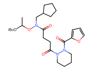 CC(C)COC(C)ON(CC1CCCC1)C(=O)CCC(=O)N1CCCCN1C(=O)c1ccco1